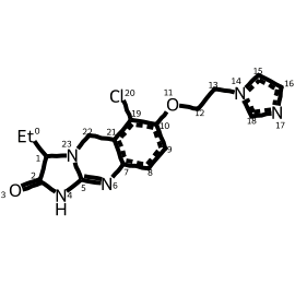 CCC1C(=O)NC2=Nc3ccc(OCCn4ccnc4)c(Cl)c3CN21